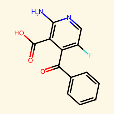 Nc1ncc(F)c(C(=O)c2ccccc2)c1C(=O)O